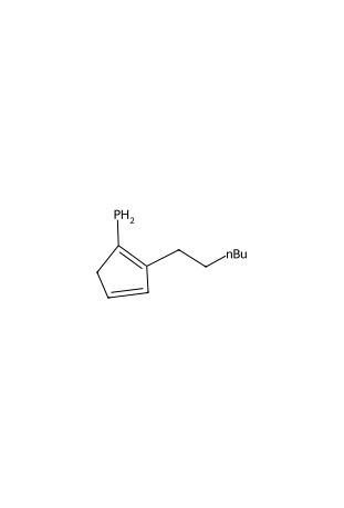 CCCCCCC1=C(P)CC=C1